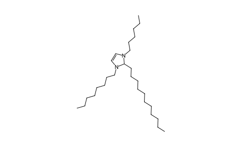 CCCCCCCCCCCC1N(CCCCCC)C=CN1CCCCCCCC